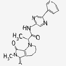 CC(C(=O)Nc1cnc(-c2cccnc2)cn1)N1CCCC2=C1C(=O)N(C)C2=O